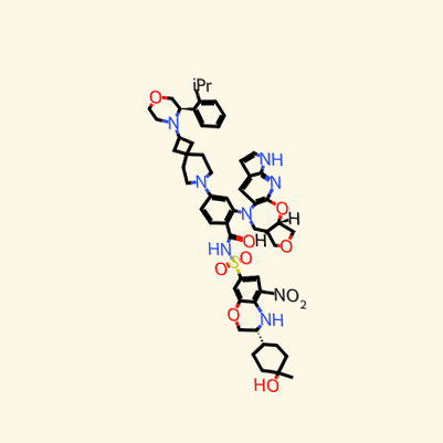 CC(C)c1ccccc1[C@@H]1COCCN1C1CC2(CCN(c3ccc(C(=O)NS(=O)(=O)c4cc5c(c([N+](=O)[O-])c4)N[C@H](C4CCC(C)(O)CC4)CO5)c(N4C[C@@H]5COC[C@H]5Oc5nc6[nH]ccc6cc54)c3)CC2)C1